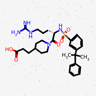 CC(C)(c1ccccc1)c1cccc(S(=O)(=O)N[C@@H](CCCNC(=N)N)C(=O)N2CCC(CCC(=O)O)CC2)c1